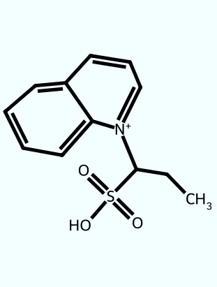 CCC([n+]1cccc2ccccc21)S(=O)(=O)O